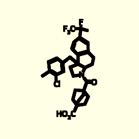 Cc1ccc(CC23CCN(C(=O)C45CCC(C(=O)O)(CC4)CC5)C2CCc2cc(C(C)(F)C(F)(F)F)ccc23)cc1Cl